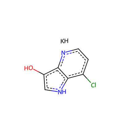 Oc1c[nH]c2c(Cl)ccnc12.[KH]